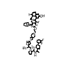 C#Cc1c(F)ccc2cc(O)cc(-c3ncc4c(N5CC6CCC(C5)N6)nc(OCCN5CCC6(CC5)CN(c5cc(C(C(=O)N7CCCC7C(=O)NC(C)c7ccc(-c8cccc(F)c8F)cc7)C(C)C)on5)C6)nc4c3F)c12